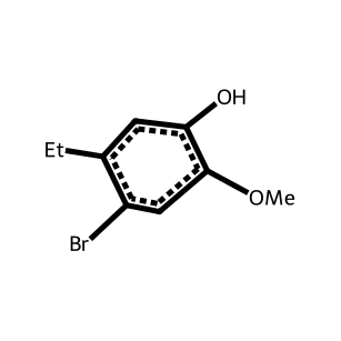 CCc1cc(O)c(OC)cc1Br